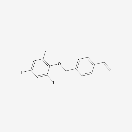 C=Cc1ccc(COc2c(I)cc(I)cc2I)cc1